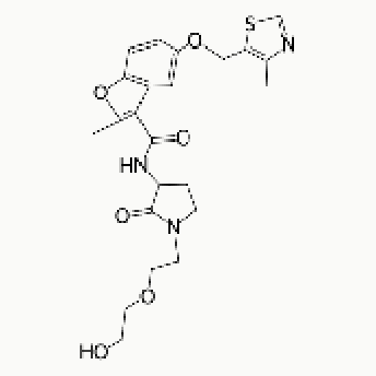 Cc1ncsc1COc1ccc2oc(C)c(C(=O)NC3CCN(CCOCCO)C3=O)c2c1